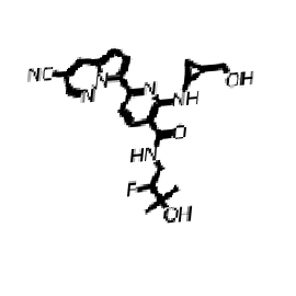 CC(C)(O)C(F)CNC(=O)c1ccc(-c2ccc3cc(C#N)cnn23)nc1NC1CC1CO